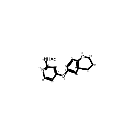 CC(=O)Nc1cc(Oc2ccc3c(c2)CCCO3)ccn1